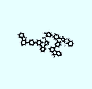 CC1(C)c2ccccc2-c2c(-c3ccc4c(c3)c3cc(-c5ccc(Cl)c(Nc6cnc7c8ccccc8c8cc(-c9ccc(-c%10cccc%11c%10oc%10ccccc%10%11)cc9)ccc8n67)c5)ccc3c3ncc(Nc5ccccc5Cl)n43)cccc21